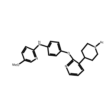 COc1ccc(Nc2ccc(Oc3ncccc3C3CCN(C(C)=O)CC3)cc2)nc1